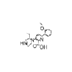 CCOc1ccccc1-c1ccc(N2CCNC[C@H]2CC)c(C(=O)O)n1